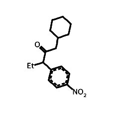 CCC(C(=O)CC1CCCCC1)c1ccc([N+](=O)[O-])cc1